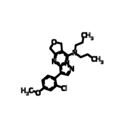 CCCN(CCC)c1c2c(nc3c(-c4ccc(OC)cc4Cl)cnn13)COC2